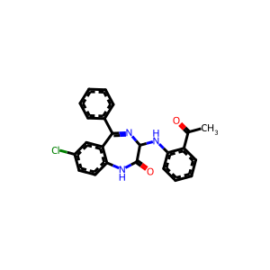 CC(=O)c1ccccc1NC1N=C(c2ccccc2)c2cc(Cl)ccc2NC1=O